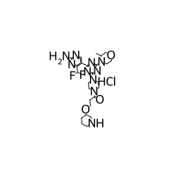 CC1COCCN1c1nc(-c2cnc(N)nc2C(F)F)nc(N2CCN(C(=O)CCOC3CCCNC3)CC2)n1.Cl